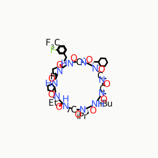 CCC(C)[C@@H]1NC(=O)[C@H](CC(C)C)N(C)C(=O)C[C@@H](C)NC(=O)[C@H](CC)N(C)C(=O)C2(CCCC2)NC(=O)[C@@H]2CCCN2C(=O)[C@H](CCc2ccc(C(F)(F)F)c(F)c2)NC(=O)CN(C)C(=O)[C@H](CC2CCCCC2)N(C)C(=O)CN(C)C(=O)CN(C)C1=O